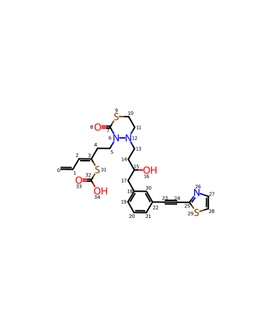 C=C/C=C(/CCN1C(=O)SCCN1CCC(O)Cc1cccc(C#Cc2nccs2)c1)SC(=O)O